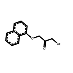 O=C(CO)COc1cccc2ccccc12